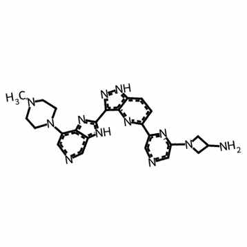 CN1CCN(c2cncc3[nH]c(-c4n[nH]c5ccc(-c6cncc(N7CC(N)C7)n6)nc45)nc23)CC1